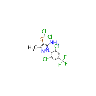 Cc1nn(-c2c(Cl)cc(C(F)(F)F)cc2Cl)c(N)c1SC(Cl)Cl